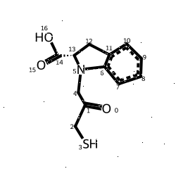 O=C(CS)CN1c2ccccc2C[C@H]1C(=O)O